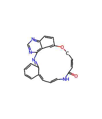 O=C1/C=C\COc2ccc3ncnc(c3c2)\N=c2/cccc/c2=C/C=C/N1